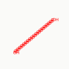 OOOOOOOOOOOOOOOOOOOOOOOOOOOOOOOOOOOOOOO